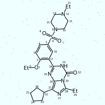 CCOc1ccc(S(=O)(=O)N2CCN(CC)CC2)cc1-c1nc2c(C3CCCC3)nc(CC)n2c(=O)[nH]1